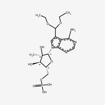 CCOC(OCC)c1cn([C@@H]2O[C@H](COP(=O)(O)O)[C@@H](O)[C@@]2(C)O)c2ncnc(N)c12